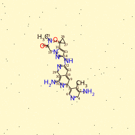 Cc1c(N)cncc1-c1cc2cc(Nc3cc4n(n3)CC(=O)N(C)OC43CC3)ncc2c(N)n1